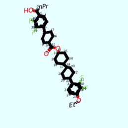 CCCC(O)c1ccc(C2CCC(C(=O)OC3CCC(C4CCC(c5ccc(OCC)c(F)c5F)CC4)CC3)CC2)c(F)c1F